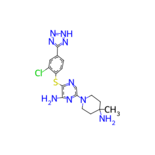 CC1(N)CCN(c2cnc(Sc3ccc(-c4nn[nH]n4)cc3Cl)c(N)n2)CC1